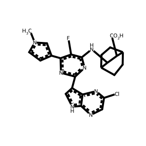 Cn1ccc(-c2nc(-c3c[nH]c4ncc(Cl)nc34)nc(NC3C4CCC(CC4)C3C(=O)O)c2F)c1